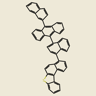 c1ccc2cc(-c3c4ccccc4c(-c4ccc(-c5cccc6c5ccc5sc7ccccc7c56)c5ccccc45)c4ccccc34)ccc2c1